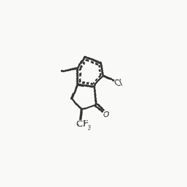 Cc1ccc(Cl)c2c1CC(C(F)(F)F)C2=O